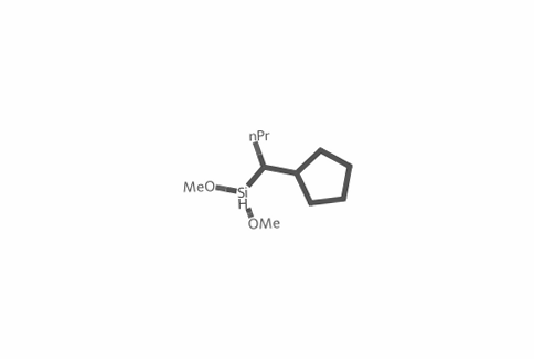 CCCC(C1CCCC1)[SiH](OC)OC